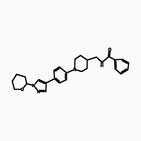 O=C(NCC1CCN(c2ccc(-c3cnn(C4CCCCO4)c3)cc2)CC1)c1ccccc1